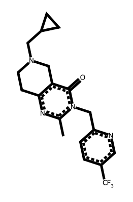 Cc1nc2c(c(=O)n1Cc1ccc(C(F)(F)F)cn1)CN(CC1CC1)CC2